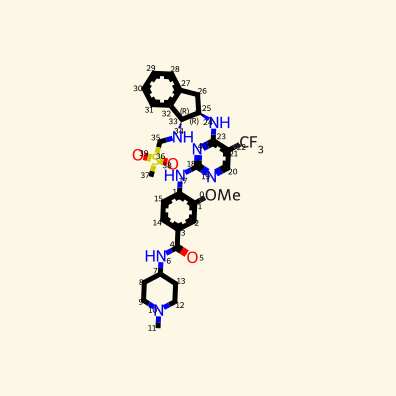 COc1cc(C(=O)NC2CCN(C)CC2)ccc1Nc1ncc(C(F)(F)F)c(N[C@@H]2Cc3ccccc3[C@H]2NCS(C)(=O)=O)n1